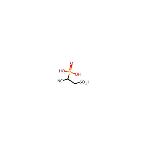 N#CC(CS(=O)(=O)O)P(=O)(O)O